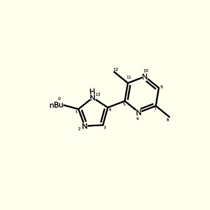 CCCCc1ncc(-c2nc(C)cnc2C)[nH]1